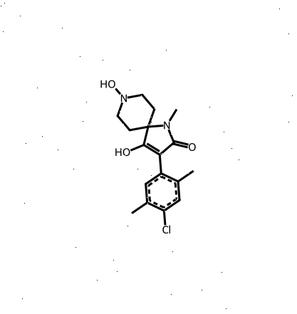 Cc1cc(C2=C(O)C3(CCN(O)CC3)N(C)C2=O)c(C)cc1Cl